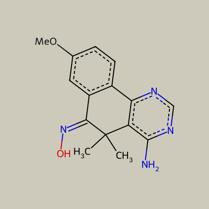 COc1ccc2c(c1)C(=NO)C(C)(C)c1c(N)ncnc1-2